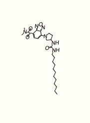 CCCCCCCCCCCCNC(=O)N[C@@H]1CCN(c2ccc(S(=O)(=O)N(C)C)c3nonc23)C1